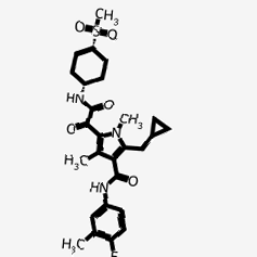 Cc1cc(NC(=O)c2c(C)c(C(=O)C(=O)N[C@H]3CC[C@@H](S(C)(=O)=O)CC3)n(C)c2CC2CC2)ccc1F